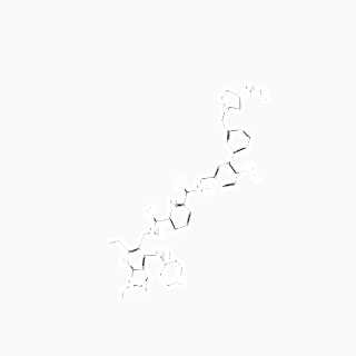 CCc1nc2c(cnn2CC)c(NC2CCOCC2)c1CNC(=O)c1cccc(C(=O)NCc2ccc(OC)c(-c3cccc(CN4CC[C@H](N)C4)c3)c2)n1